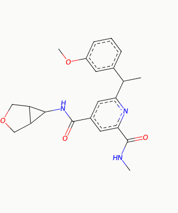 CNC(=O)c1cc(C(=O)NC2C3COCC32)cc(C(C)c2cccc(OC)c2)n1